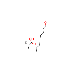 C=CCC.CCC(=O)O.CCCCC[O-].[K+]